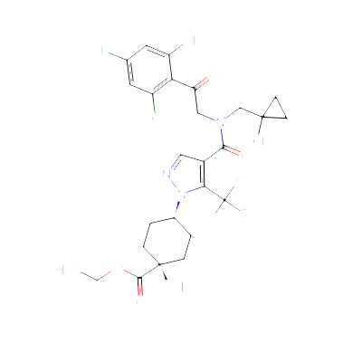 CCOC(=O)[C@]1(C)CC[C@@H](n2ncc(C(=O)N(CC(=O)c3c(Cl)cc(F)cc3Cl)CC3(C)CC3)c2C(F)(F)F)CC1